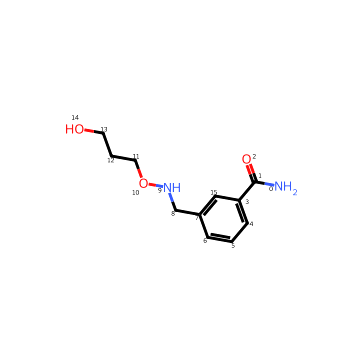 NC(=O)c1cccc(CNOCCCO)c1